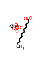 CCCCCCCCCCCC(=O)[O-].O=P([O-])([O-])[O-].[Zn+2].[Zn+2]